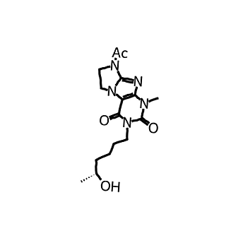 CC(=O)N1CCn2c1nc1c2c(=O)n(CCCC[C@@H](C)O)c(=O)n1C